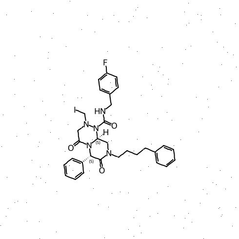 O=C1[C@H](c2ccccc2)N2C(=O)CN(CI)N(C(=O)NCc3ccc(F)cc3)[C@H]2CN1CCCCc1ccccc1